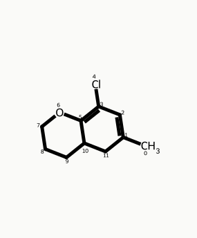 CC1=CC(Cl)=C2OCCCC2C1